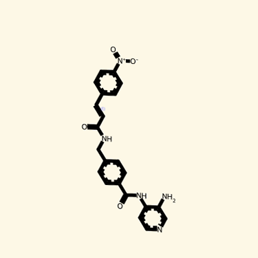 Nc1cnccc1NC(=O)c1ccc(CNC(=O)/C=C/c2ccc([N+](=O)[O-])cc2)cc1